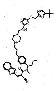 CCCC(c1ccc(CCCN2CCC(CNc3ncc(SCc4ncc(C(C)(C)C)o4)s3)CC2)cc1)N(C)C(=O)C(C#N)=Cc1nc2ccccc2s1